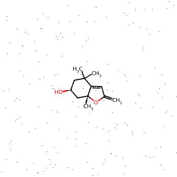 C=C1C=C2C(C)(C)C[C@H](O)C[C@@]2(C)O1